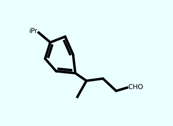 CC(C)c1ccc(C(C)CCC=O)cc1